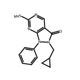 CSc1ncc2c(=O)n(CC3CC3)n(-c3ccccc3)c2n1